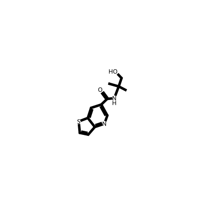 CC(C)(CO)NC(=O)c1cnc2ccsc2c1